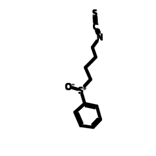 [O-][S+](CCCCN=C=S)c1ccccc1